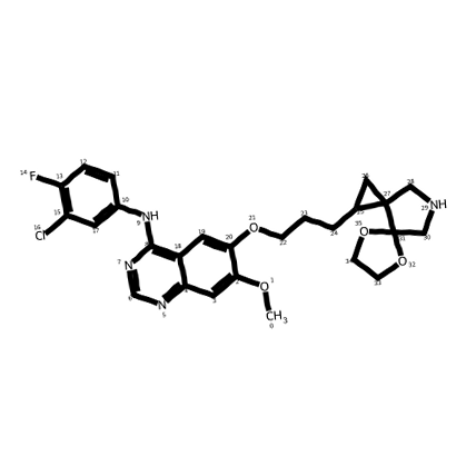 COc1cc2ncnc(Nc3ccc(F)c(Cl)c3)c2cc1OCCCC1CC12CNCC21OCCO1